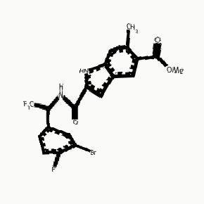 COC(=O)c1cc2cc(C(=O)NC(c3ccc(F)c(Br)c3)C(F)(F)F)[nH]c2cc1C